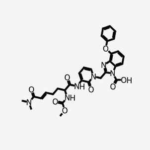 COC(=O)NC(CC/C=C/C(=O)N(C)C)C(=O)Nc1cccn(Cc2nc3c(Oc4ccccc4)cccc3n2C(=O)O)c1=O